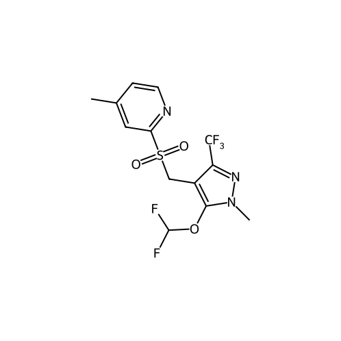 Cc1ccnc(S(=O)(=O)Cc2c(C(F)(F)F)nn(C)c2OC(F)F)c1